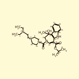 CCN(CC)CCN1CCN(C(=O)N2C=C(C(=O)OC(C)C)c3[nH]c4ccccc4c3C(C)(C)C2)CC1